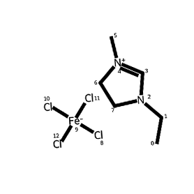 CCN1C=[N+](C)CC1.[Cl][Fe-]([Cl])([Cl])[Cl]